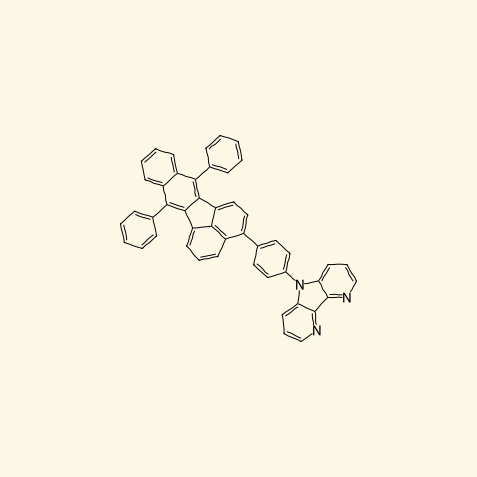 c1ccc(-c2c3c(c(-c4ccccc4)c4ccccc24)-c2ccc(-c4ccc(-n5c6cccnc6c6ncccc65)cc4)c4cccc-3c24)cc1